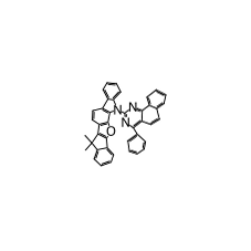 CC1(C)c2ccccc2-c2oc3c(ccc4c5ccccc5n(-c5nc(-c6ccccc6)c6ccc7ccccc7c6n5)c43)c21